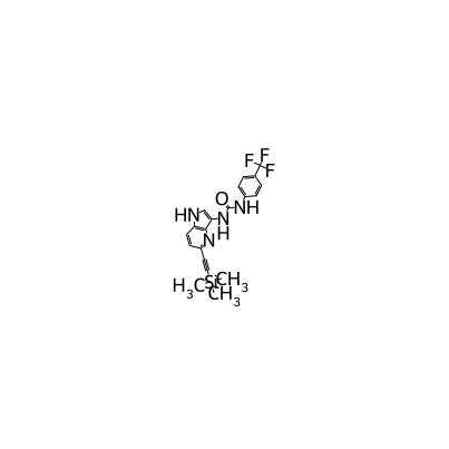 C[Si](C)(C)C#Cc1ccc2[nH]cc(NC(=O)Nc3ccc(C(F)(F)F)cc3)c2n1